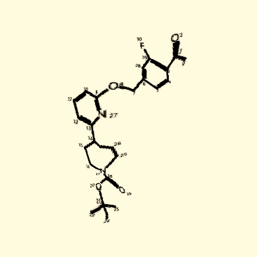 CC(=O)c1ccc(COc2cccc(C3CCN(C(=O)OC(C)(C)C)CC3)n2)cc1F